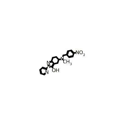 CN(Cc1ccc([N+](=O)[O-])cc1)C1CCc2nn(-c3ccccn3)c(O)c2C1